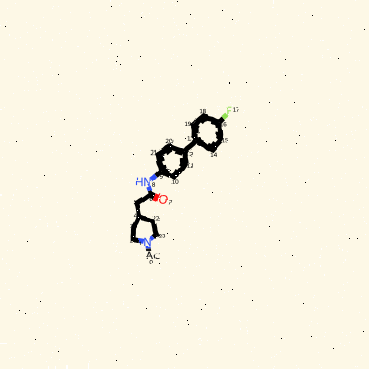 CC(=O)N1CCC(CC(=O)Nc2ccc(-c3ccc(F)cc3)cc2)CC1